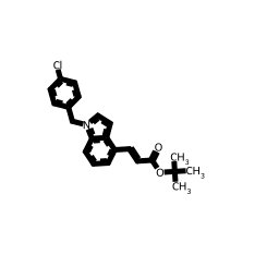 CC(C)(C)OC(=O)/C=C/c1cccc2c1ccn2Cc1ccc(Cl)cc1